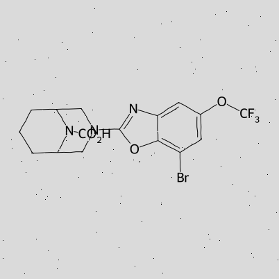 O=C(O)N1C2CCCC1CN(c1nc3cc(OC(F)(F)F)cc(Br)c3o1)C2